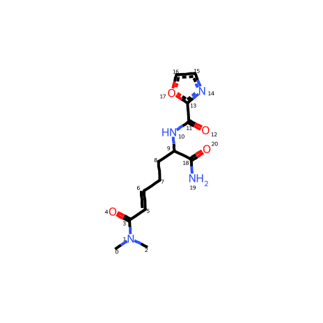 CN(C)C(=O)C=CCCC(NC(=O)c1ncco1)C(N)=O